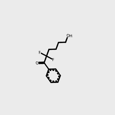 O=C(c1ccccc1)C(F)(F)CCCCO